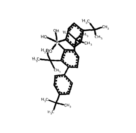 CC(C)(C)c1ccc(-c2ccc(C(C)(C)C)c(P(O)(O)(O)c3ccc(C(C)(C)C)cc3)c2C(C)(C)C)cc1